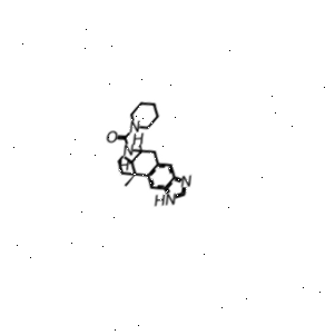 C[C@@H]1[C@H]2Cc3cc4nc[nH]c4cc3[C@]1(C)CCN2C(=O)N1CCCCC1